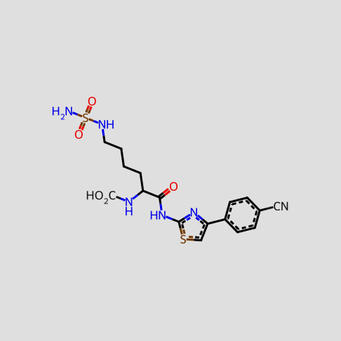 N#Cc1ccc(-c2csc(NC(=O)C(CCCCNS(N)(=O)=O)NC(=O)O)n2)cc1